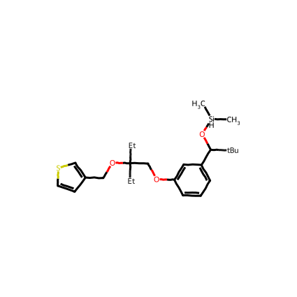 CCC(CC)(COc1cccc(C(O[SiH](C)C)C(C)(C)C)c1)OCc1ccsc1